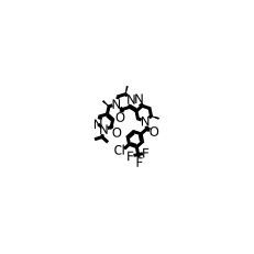 CC(C)n1ncc([C@@H](C)N2C[C@@H](C)n3nc4c(c3C2=O)CN(C(=O)c2ccc(Cl)c(C(F)(F)F)c2)[C@H](C)C4)cc1=O